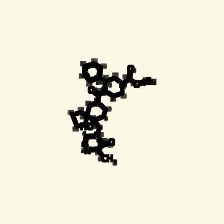 Cc1nccn(CC2(O)CCN(C(=O)N3CCN(C(=O)OC(C)(C)C)C[C@H]3c3ccccc3)CC23CCCC3)c1=O